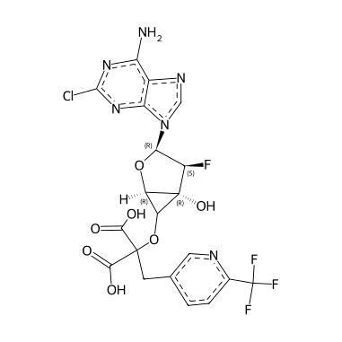 Nc1nc(Cl)nc2c1ncn2[C@@H]1O[C@@H]2C(OC(Cc3ccc(C(F)(F)F)nc3)(C(=O)O)C(=O)O)[C@]2(O)[C@@H]1F